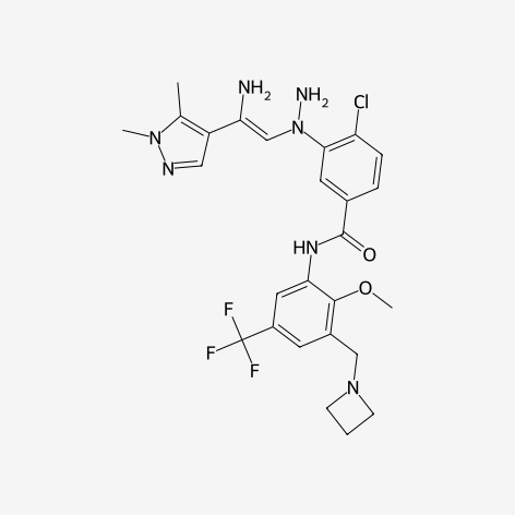 COc1c(CN2CCC2)cc(C(F)(F)F)cc1NC(=O)c1ccc(Cl)c(N(N)/C=C(\N)c2cnn(C)c2C)c1